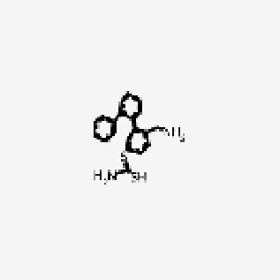 NC(=S)S.NCc1ccccc1-c1ccccc1-c1ccccc1